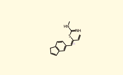 C=C/C(=C/c1ccc2c(c1)C=CC2)SC(=N)NC